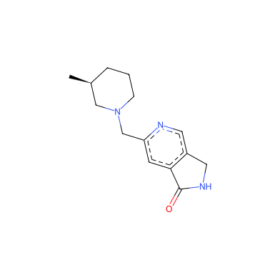 C[C@H]1CCCN(Cc2cc3c(cn2)CNC3=O)C1